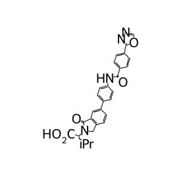 CC(C)[C@@H](C(=O)O)N1Cc2ccc(-c3ccc(NC(=O)c4ccc(-c5nnco5)cc4)cc3)cc2C1=O